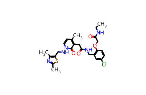 CCNC(=O)COc1ccc(Cl)cc1CNC(=O)Cc1c(C)ccn(NCc2sc(C)nc2C)c1=O